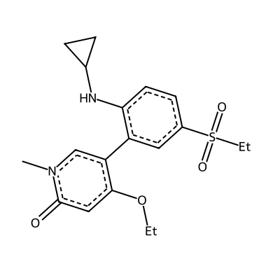 CCOc1cc(=O)n(C)cc1-c1cc(S(=O)(=O)CC)ccc1NC1CC1